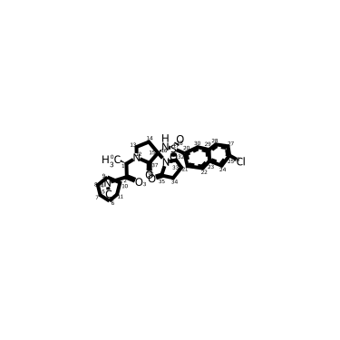 C[C@@H](C(=O)N1CC2CCC1CC2)N1CC[C@@](NS(=O)(=O)c2ccc3cc(Cl)ccc3c2)(N2CCCC2=O)C1=O